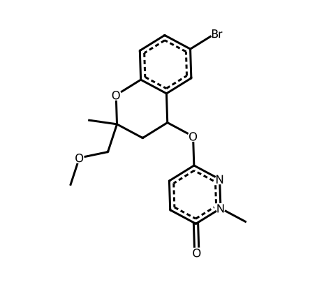 COCC1(C)CC(Oc2ccc(=O)n(C)n2)c2cc(Br)ccc2O1